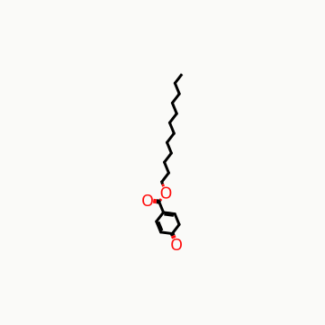 CCCCCCCCCCCCOC(=O)C1=CCC(=O)C=C1